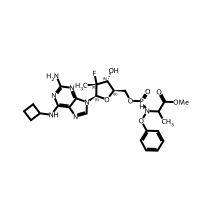 COC(=O)C(C)N(Oc1ccccc1)[PH](=O)OC[C@H]1O[C@@H](n2cnc3c(NC4CCC4)nc(N)nc32)[C@](C)(F)[C@@H]1O